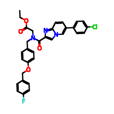 CCOC(=O)CN(Cc1ccc(OCc2ccc(F)cc2)cc1)C(=O)c1cn2cc(-c3ccc(Cl)cc3)ccc2n1